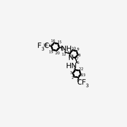 FC(F)(F)c1ccc(NCc2cccc(CNc3ccc(C(F)(F)F)cc3)n2)cc1